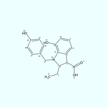 CCC1C(C(=O)O)c2cccc(O)c2N1Cc1ccc(O)cc1